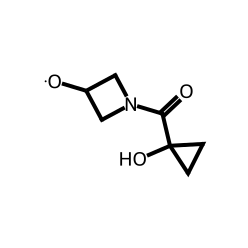 [O]C1CN(C(=O)C2(O)CC2)C1